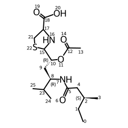 CC[C@H](C)CC(=O)N[C@H](C[C@@H](OC(C)=O)C1NC(C(=O)O)CS1)C(C)C